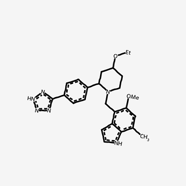 CCOC1CCN(Cc2c(OC)cc(C)c3[nH]ccc23)C(c2ccc(-c3nn[nH]n3)cc2)C1